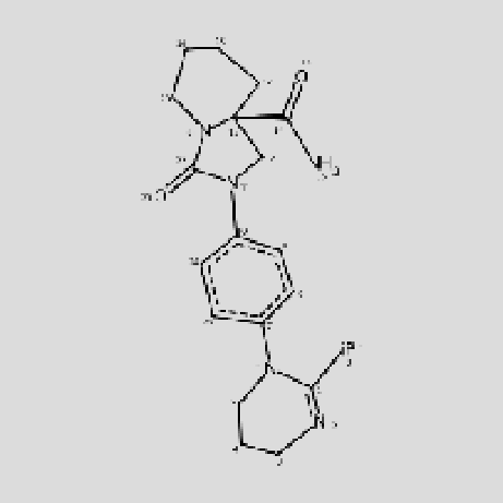 CC(C)C1=NCCCN1c1ccc(N2C[C@@]3(C(N)=O)[CH]CCCN3C2=O)cc1